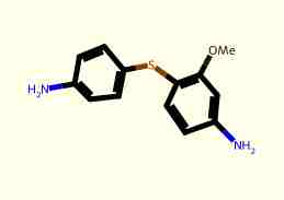 COc1cc(N)ccc1Sc1ccc(N)cc1